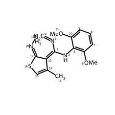 C=N/C(Nc1c(OC)cccc1OC)=C1/C(C)=CS/C1=N/C